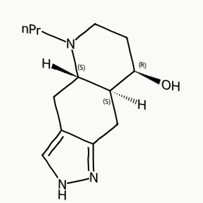 CCCN1CC[C@@H](O)[C@H]2Cc3n[nH]cc3C[C@@H]21